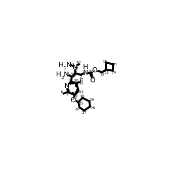 Cc1nc(/C(N)=C(\CNC(=O)OCC2CCC2)N(C)N)c(F)cc1OC1CCCCC1